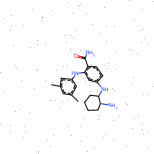 Cc1cc(C)cc(Nc2cc(N[C@@H]3CCCC[C@@H]3N)ccc2C(N)=O)c1